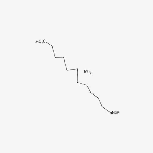 B.CCCCCCCCCCCCCCCCCCCC(=O)O